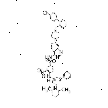 CC1CCCC(C)N1CC[C@H](CSc1ccccc1)Nc1ccc(S(=O)(=O)Nc2ncnc3cc(N4CCN(Cc5ccccc5-c5ccc(Cl)cc5)CC4)ccc23)cc1[N+](=O)[O-]